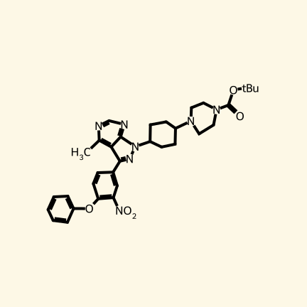 Cc1ncnc2c1c(-c1ccc(Oc3ccccc3)c([N+](=O)[O-])c1)nn2C1CCC(N2CCN(C(=O)OC(C)(C)C)CC2)CC1